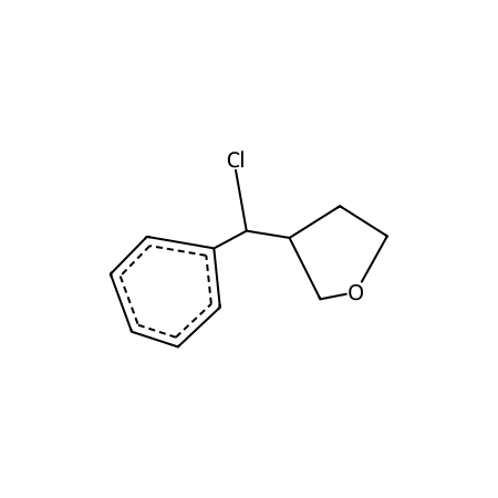 ClC(c1ccccc1)C1CCOC1